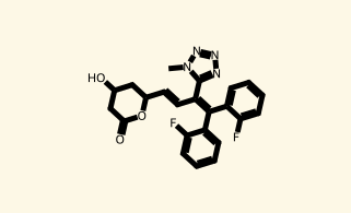 Cn1nnnc1C(C=CC1CC(O)CC(=O)O1)=C(c1ccccc1F)c1ccccc1F